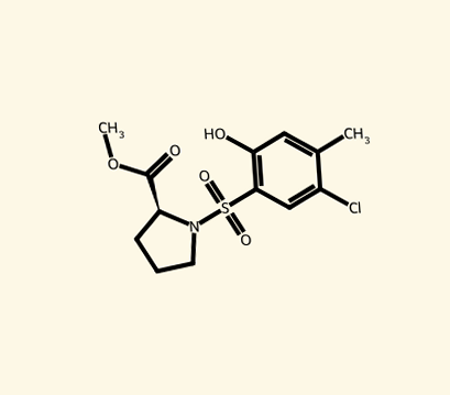 COC(=O)[C@@H]1CCCN1S(=O)(=O)c1cc(Cl)c(C)cc1O